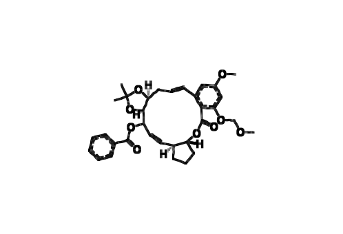 COCOc1cc(OC)cc2c1C(=O)O[C@@H]1CCC[C@H]1/C=C\C(OC(=O)c1ccccc1)[C@H]1OC(C)(C)O[C@H]1C/C=C/2